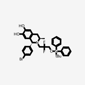 C[C@@H]1Cc2cc(O)c(O)cc2[C@@H](c2ccc(Br)cc2)N1CC(F)(F)CO[Si](c1ccccc1)(c1ccccc1)C(C)(C)C